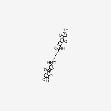 O=C1CCC(N2Cc3ccc(NC(=O)CCCCCCC(=O)Nc4ccc5c(c4)C(=O)N(C4CCC(=O)NC4=O)C5)cc3C2=O)C(=O)N1